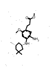 COC(=O)CCc1cc(N)c(N[C@H]2C[C@@H](C)CC(C)(C)C2)cc1OC